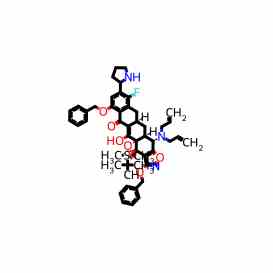 C=CCN(CC=C)[C@@H]1c2onc(OCc3ccccc3)c2C(=O)[C@@]2(O[Si](C)(C)C(C)(C)C)C(O)=C3C(=O)c4c(OCc5ccccc5)cc(C5CCCN5)c(F)c4C[C@H]3C[C@@H]12